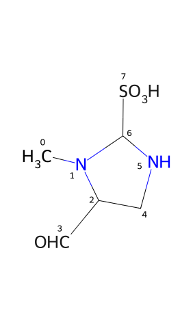 CN1C(C=O)CNC1S(=O)(=O)O